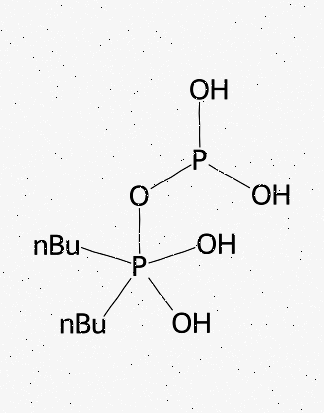 CCCCP(O)(O)(CCCC)OP(O)O